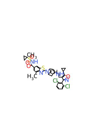 Cc1cc(C(=O)NS(=O)(=O)C2(C)CC2)cc2sc(N3C4CC(NCc5c(-c6c(Cl)cccc6Cl)noc5C5CC5)CC3C4C)nc12